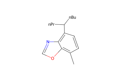 CCCCC(CCC)c1ccc(C)c2ocnc12